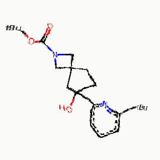 CC(C)(C)OC(=O)N1CC2(CCC(O)(c3cccc(C(C)(C)C)n3)C2)C1